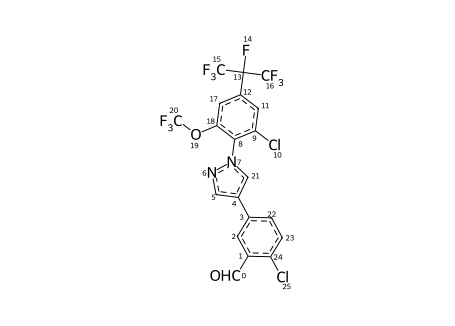 O=Cc1cc(-c2cnn(-c3c(Cl)cc(C(F)(C(F)(F)F)C(F)(F)F)cc3OC(F)(F)F)c2)ccc1Cl